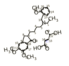 CCN(CCCCC1Cc2cc(OC)c(OC)cc2C1=O)Cc1ccccc1OC.O=C(O)/C=C/C(=O)O